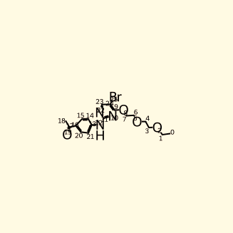 CCOCCOCCOc1nc(Nc2ccc(C(C)=O)cc2)ncc1Br